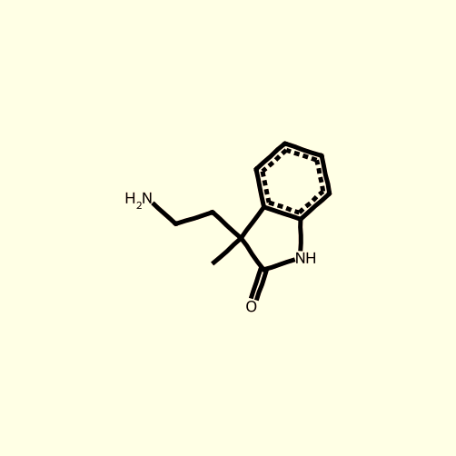 CC1(CCN)C(=O)Nc2ccccc21